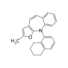 Cc1cc2c(o1)N(c1cccc3c1CCCC3)c1ccccc1C=C2